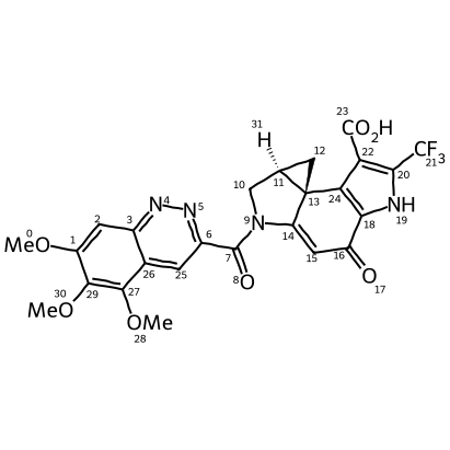 COc1cc2nnc(C(=O)N3C[C@H]4C[C@@]45C3=CC(=O)c3[nH]c(C(F)(F)F)c(C(=O)O)c35)cc2c(OC)c1OC